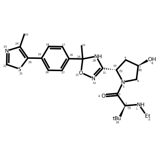 CCN[C@H](C(=O)N1C[C@H](O)C[C@H]1C1=NOC(C)(c2ccc(-c3scnc3C)cc2)N1)C(C)(C)C